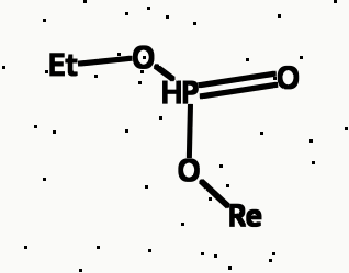 CCO[PH](=O)[O][Re]